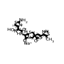 Cc1snnc1C=CC1(C(=O)[O-])CS[C@@H]2C(NC(=O)C(=NO)c3csc(N)n3)C(=O)N2C1.[Na+]